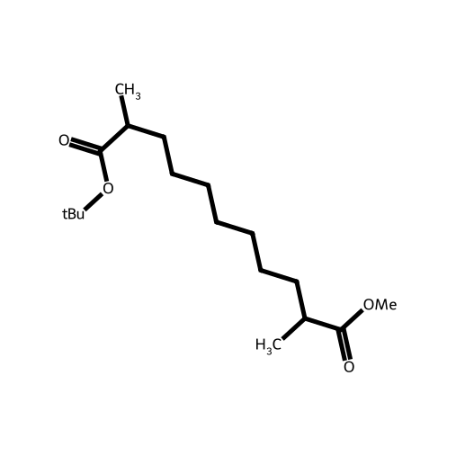 COC(=O)C(C)CCCCCCCC(C)C(=O)OC(C)(C)C